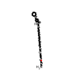 NCCOCCOCCOCCOCCOCCOCCOCCOCCOCCOCCOCCNC(=O)c1ccc(CO[C@@H]2CC/C=C\CCC2)cc1